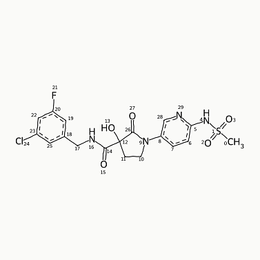 CS(=O)(=O)Nc1ccc(N2CCC(O)(C(=O)NCc3cc(F)cc(Cl)c3)C2=O)cn1